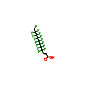 O=C(O)C=CC(F)(F)C(F)(F)C(F)(F)C(F)(F)C(F)(F)C(F)(F)C(F)(F)CF